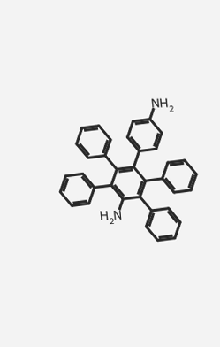 Nc1ccc(-c2c(-c3ccccc3)c(-c3ccccc3)c(N)c(-c3ccccc3)c2-c2ccccc2)cc1